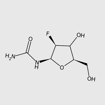 NC(=O)N[C@@H]1O[C@H](CO)C(O)[C@@H]1F